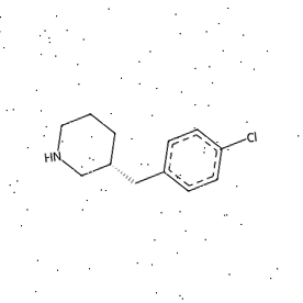 Clc1ccc(C[C@H]2CCCNC2)cc1